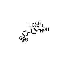 CCS(=O)(=O)c1cccc(-c2ccc3c(c2)C(C)(C)CC3=NO)c1